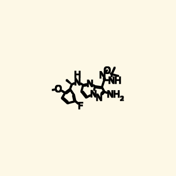 COc1ccc(F)cc1[C@@H](C)Nc1ccn2nc(N)c(C3=NOC(C)(C)N3)c2n1